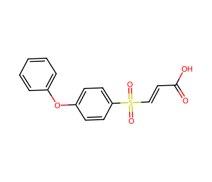 O=C(O)/C=C/S(=O)(=O)c1ccc(Oc2ccccc2)cc1